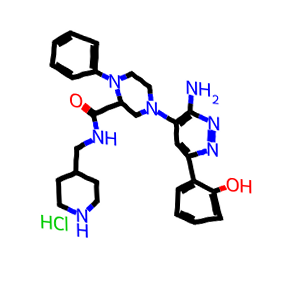 Cl.Nc1nnc(-c2ccccc2O)cc1N1CCN(c2ccccc2)C(C(=O)NCC2CCNCC2)C1